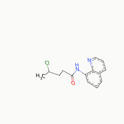 CC(Cl)CCC(=O)Nc1cccc2cccnc12